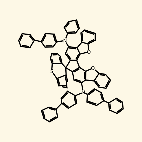 c1ccc(-c2ccc(N(c3ccccc3)c3cc4c(c5oc6ccccc6c35)-c3c(cc(N(c5ccc(-c6ccccc6)cc5)c5ccc(-c6ccccc6)cc5)c5c3oc3ccccc35)C43c4ccccc4Sc4ccccc43)cc2)cc1